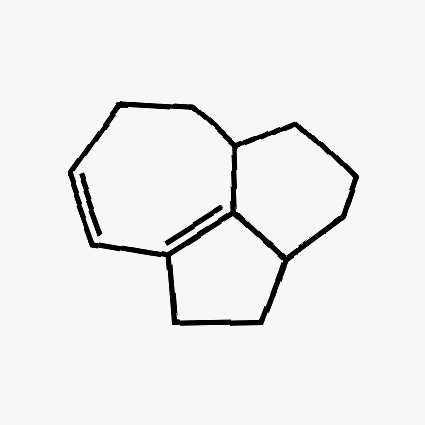 C1=CC2=C3C(CC1)CCCC3CC2